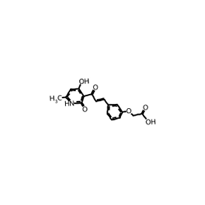 Cc1cc(O)c(C(=O)/C=C/c2cccc(OCC(=O)O)c2)c(=O)[nH]1